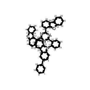 c1ccc(-c2ccc3c(c2)c2ccccc2n3-c2ccccc2-c2nc(-c3cccc4c3oc3ccccc34)nc(-c3cccc4sc5ccccc5c34)n2)cc1